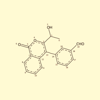 CC(O)c1oc(=O)c2ccccc2c1-c1cccc(C=O)c1